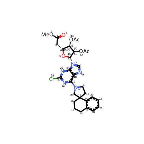 COC(=O)C[C@H]1O[C@@H](n2cnc3c(N4CCC5(CCCc6ccccc65)C4)nc(Cl)nc32)[C@H](OC(C)=O)[C@@H]1OC(C)=O